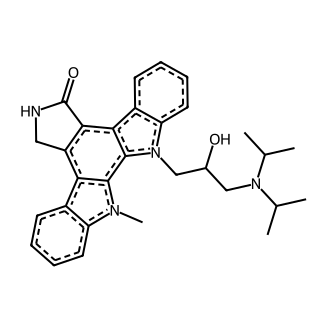 CC(C)N(CC(O)Cn1c2ccccc2c2c3c(c4c5ccccc5n(C)c4c21)CNC3=O)C(C)C